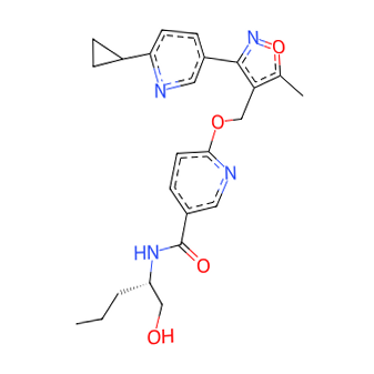 CCC[C@@H](CO)NC(=O)c1ccc(OCc2c(-c3ccc(C4CC4)nc3)noc2C)nc1